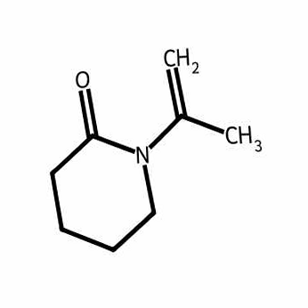 C=C(C)N1CCCCC1=O